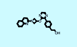 OCCc1ccc(-c2nccnc2OC2CN(c3ccc4ccccc4n3)C2)cc1